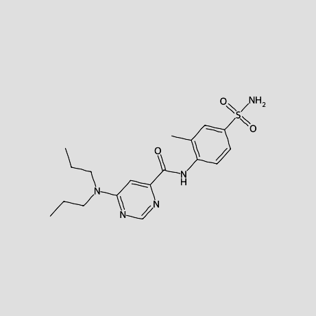 CCCN(CCC)c1cc(C(=O)Nc2ccc(S(N)(=O)=O)cc2C)ncn1